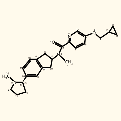 CN(C(=O)c1ccc(OCC2CC2)cn1)C1Cc2ccc([C@H]3CCCN3C)cc2C1